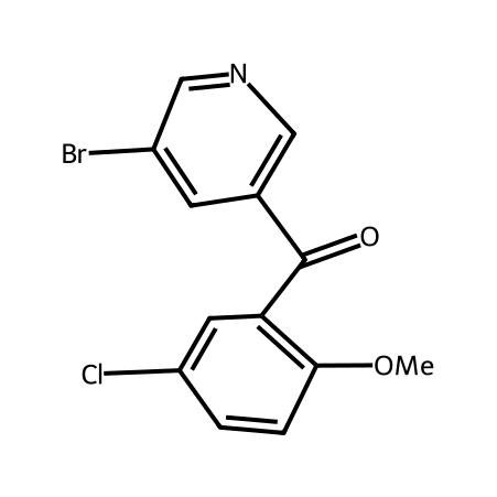 COc1ccc(Cl)cc1C(=O)c1cncc(Br)c1